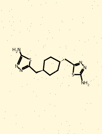 Nc1nnc(C[C@H]2CC[C@H](Cc3nnc(N)s3)CC2)s1